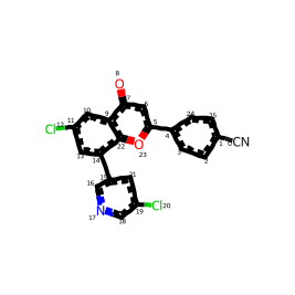 N#Cc1ccc(-c2cc(=O)c3cc(Cl)cc(-c4cncc(Cl)c4)c3o2)cc1